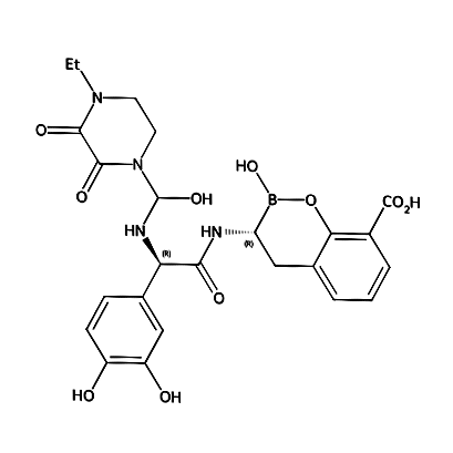 CCN1CCN(C(O)N[C@@H](C(=O)N[C@H]2Cc3cccc(C(=O)O)c3OB2O)c2ccc(O)c(O)c2)C(=O)C1=O